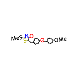 COc1ccc(COc2ccc(C=C3SC(SC)=NC3=O)cc2)cc1